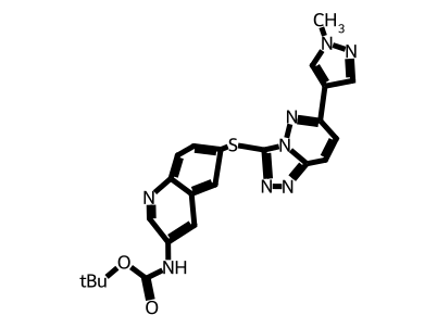 Cn1cc(-c2ccc3nnc(Sc4ccc5ncc(NC(=O)OC(C)(C)C)cc5c4)n3n2)cn1